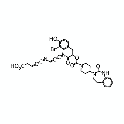 O=C(O)CC=C=C=NC=C=C=NC(=O)[C@@H](Cc1ccc(O)c(Br)c1)OC(=O)N1CCC(N2CCc3ccccc3NC2=O)CC1